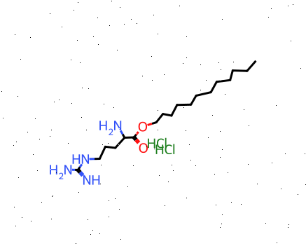 CCCCCCCCCCCCOC(=O)C(N)CCCNC(=N)N.Cl.Cl